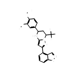 COc1ccc(C2CC(C(F)(F)F)n3nc(-c4cccc5[nH]ncc45)cc3N2)cc1OC